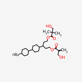 C=C(CO)C(=O)OCCC(CCOC(=O)C(C)(C)CO)C1CCC(C2CCC(CCCC)CC2)CC1